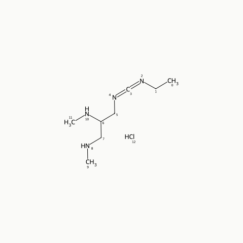 CCN=C=NCC(CNC)NC.Cl